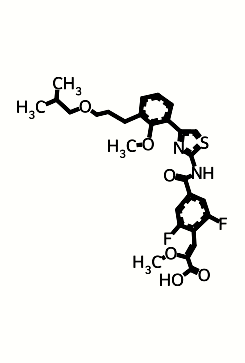 COC(=Cc1c(F)cc(C(=O)Nc2nc(-c3cccc(CCCOCC(C)C)c3OC)cs2)cc1F)C(=O)O